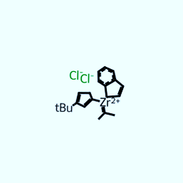 C[C](C)=[Zr+2]([C]1=CC(C(C)(C)C)=CC1)[CH]1C=Cc2ccccc21.[Cl-].[Cl-]